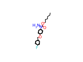 CCCCCCOC(=O)N(N)c1ccc(OCc2ccc(F)cc2)cc1